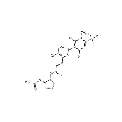 CC(=O)OC1COCC1OC(=O)CSc1cc(-n2c(=O)cc(C(F)(F)F)n(C)c2=O)ccc1Cl